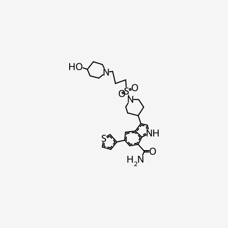 NC(=O)c1cc(-c2ccsc2)cc2c(C3CCN(S(=O)(=O)CCCN4CCC(O)CC4)CC3)c[nH]c12